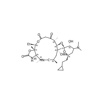 CC[C@H]1OC(=O)CC(=O)[C@H](C)[C@@H](O[C@@H]2O[C@H](CCC3CC3)CC(N(C)C)[C@H]2O)[C@](C)(OC)C[C@@H](C)CN[C@H](C)[C@H]2NC(=O)O[C@@]21C